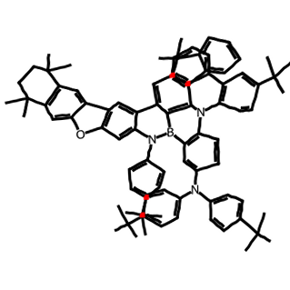 CC(C)(C)c1ccc(N2B3c4cc(N(c5ccc(C(C)(C)C)cc5)c5ccc(C(C)(C)C)cc5)ccc4N(c4ccc(C(C)(C)C)cc4-c4ccccc4)c4c3c(cc3c4-c4ccccc4C3(C)C)-c3cc4c(cc32)oc2cc3c(cc24)C(C)(C)CCC3(C)C)cc1